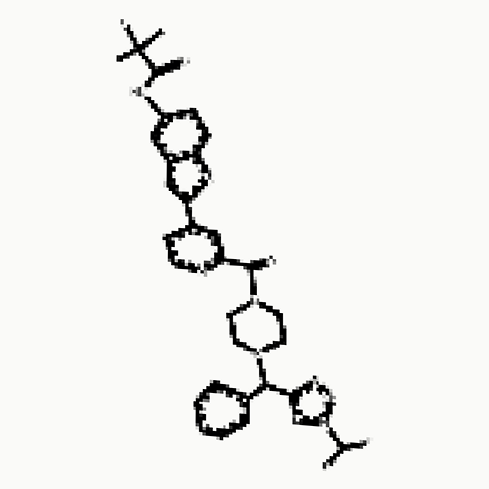 CC(C)(F)C(=O)Nc1ccc2oc(-c3ccnc(C(=O)N4CCN(C(c5ccccc5)c5nnn(C(F)F)n5)CC4)c3)cc2c1